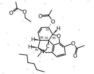 CC(=O)Oc1ccc2c3c1O[C@H]1[C@@H](OC(C)=O)C=C[C@H]4[C@@H](C2)N(C)CC[C@@]341.CCCCCC.CCOC(C)=O